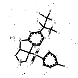 Cl.O=S(=O)(c1ccc(F)cc1)C12CNCC1Oc1cc(C(F)(C(F)(F)F)C(F)(F)F)ccc12